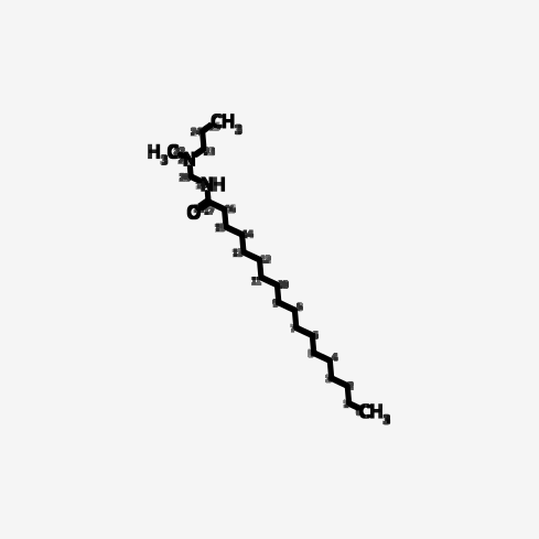 CCCCCCCCCCCCCCCCCC(=O)NCN(C)CCC